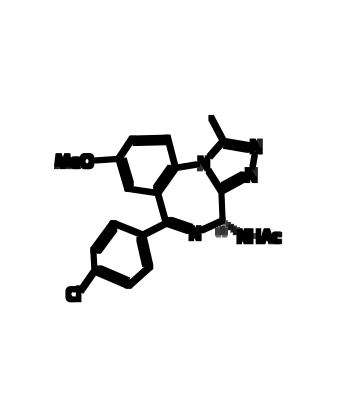 COc1ccc2c(c1)C(c1ccc(Cl)cc1)=N[C@@H](NC(C)=O)c1nnc(C)n1-2